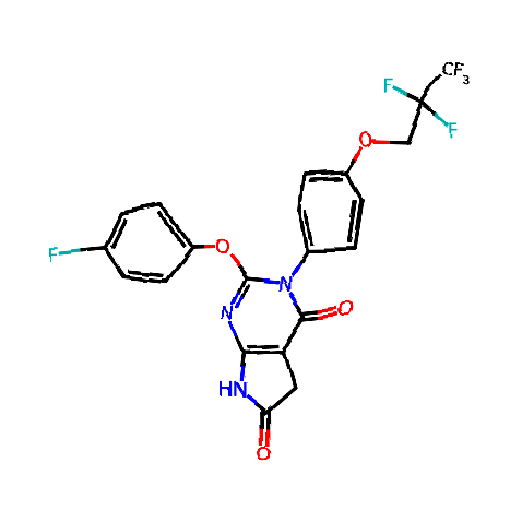 O=C1Cc2c(nc(Oc3ccc(F)cc3)n(-c3ccc(OCC(F)(F)C(F)(F)F)cc3)c2=O)N1